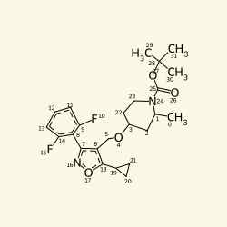 CC1CC(OCc2c(-c3c(F)cccc3F)noc2C2CC2)CCN1C(=O)OC(C)(C)C